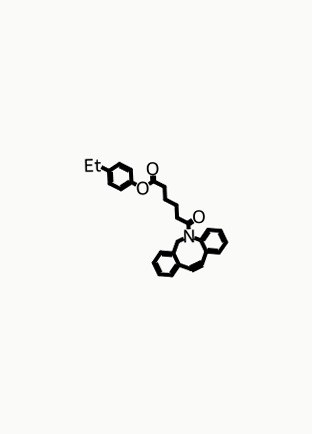 CCc1ccc(OC(=O)CCCCC(=O)N2Cc3ccccc3C#Cc3ccccc32)cc1